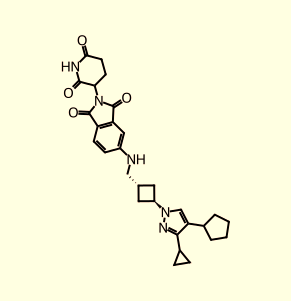 O=C1CCC(N2C(=O)c3ccc(NC[C@H]4C[C@H](n5cc(C6CCCC6)c(C6CC6)n5)C4)cc3C2=O)C(=O)N1